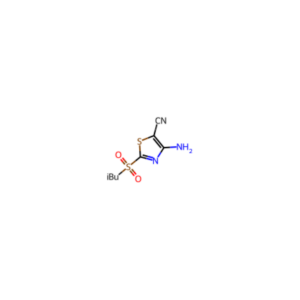 CCC(C)S(=O)(=O)c1nc(N)c(C#N)s1